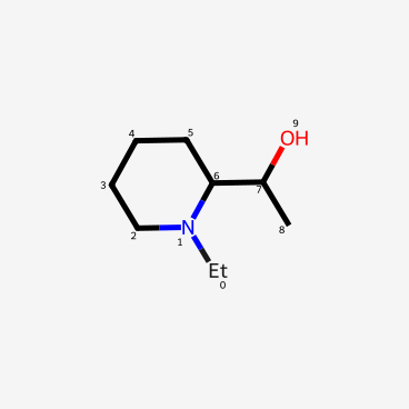 CCN1CCCCC1C(C)O